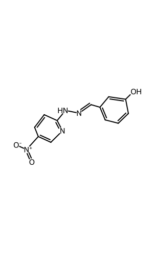 O=[N+]([O-])c1ccc(NN=Cc2cccc(O)c2)nc1